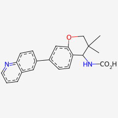 CC1(C)COc2cc(-c3ccc4ncccc4c3)ccc2C1NC(=O)O